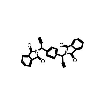 C#CC(c1ccc(C(C#C)N2C(=O)c3ccccc3C2=O)cc1)N1C(=O)c2ccccc2C1=O